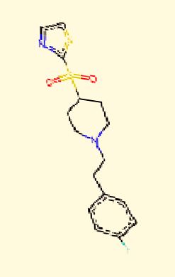 O=S(=O)(c1nccs1)C1CCN(CCc2ccc(F)cc2)CC1